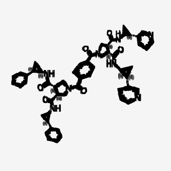 O=C(NC1C[C@@H]1c1ccccc1)[C@@H]1CN(C(=O)c2ccc(C(=O)N3C[C@@H](C(=O)NC4C[C@@H]4c4cccnc4)[C@H](C(=O)N[C@H]4C[C@@H]4c4cccnc4)C3)cc2)C[C@H]1C(=O)N[C@H]1C[C@@H]1c1ccccc1